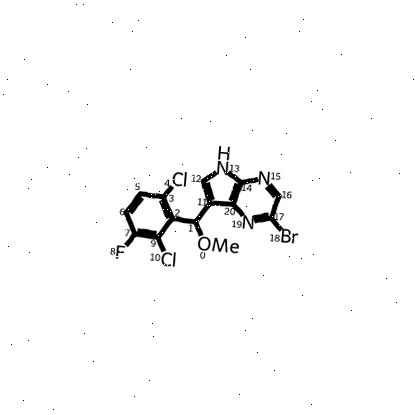 COC(c1c(Cl)ccc(F)c1Cl)c1c[nH]c2ncc(Br)nc12